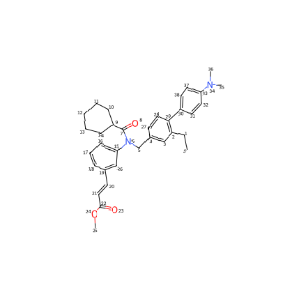 CCc1cc(CN(C(=O)C2CCCCC2)c2cccc(/C=C/C(=O)OC)c2)ccc1-c1ccc(N(C)C)cc1